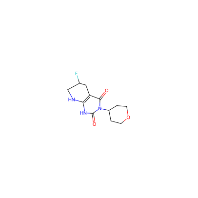 O=c1[nH]c2c(c(=O)n1C1CCOCC1)CC(F)CN2